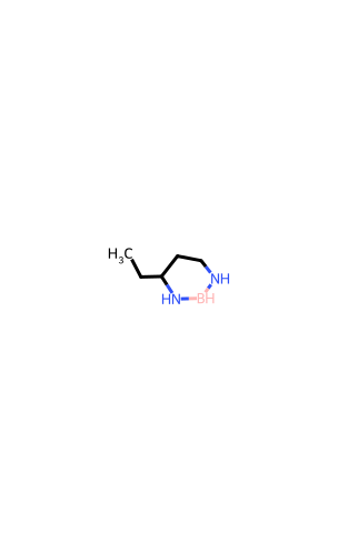 CCC1CCNBN1